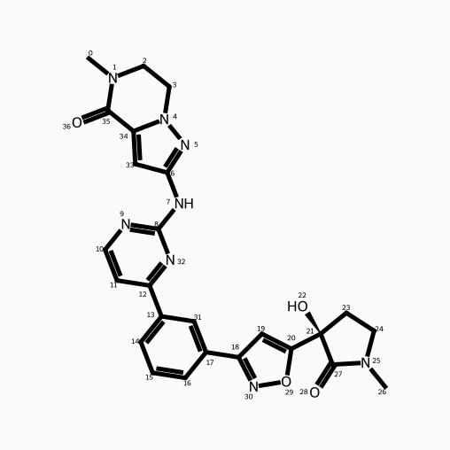 CN1CCn2nc(Nc3nccc(-c4cccc(-c5cc([C@]6(O)CCN(C)C6=O)on5)c4)n3)cc2C1=O